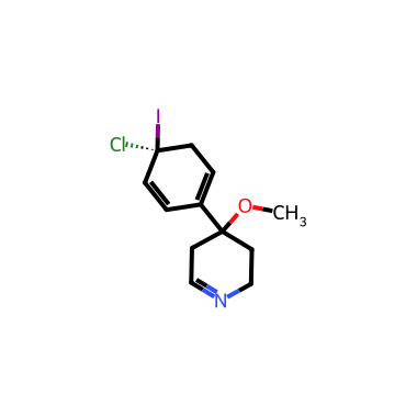 COC1(C2=CC[C@](Cl)(I)C=C2)CC=NCC1